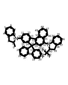 CC1Cc2ccccc2N1c1ccc2c(c1)C(c1ccccc1)(c1ccccc1)c1cc(N3c4ccccc4CC3C(F)(F)F)c3ccccc3c1-2